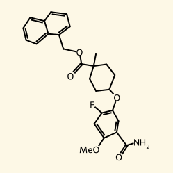 COc1cc(F)c(OC2CCC(C)(C(=O)OCc3cccc4ccccc34)CC2)cc1C(N)=O